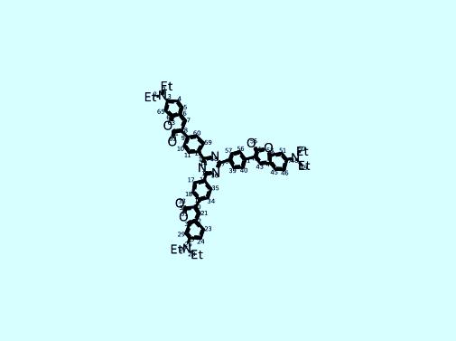 CCN(CC)c1ccc2cc(-c3ccc(-c4nc(-c5ccc(-c6cc7ccc(N(CC)CC)cc7oc6=O)cc5)nc(-c5ccc(-c6cc7ccc(N(CC)CC)cc7oc6=O)cc5)n4)cc3)c(=O)oc2c1